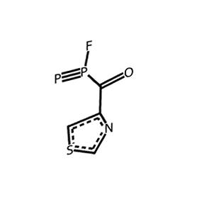 O=C(c1cscn1)P(F)#P